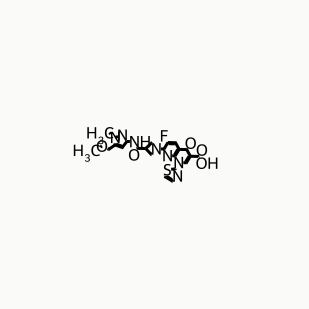 COCc1cc(NC(=O)C2CN(c3nc4c(cc3F)c(=O)c(C(=O)O)cn4-c3nccs3)C2)nn1C